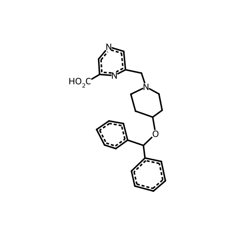 O=C(O)c1cncc(CN2CCC(OC(c3ccccc3)c3ccccc3)CC2)n1